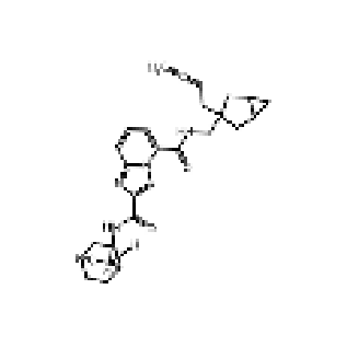 C=C=CCC1(CNC(=O)c2cccc3nc(C(=O)N[C@H]4CN5CCC4CC5)cn23)CC2CC2C1